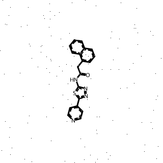 O=C(Cc1cccc2ccccc12)Nc1nnc(-c2ccncc2)s1